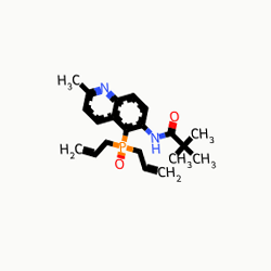 C=CCP(=O)(CC=C)c1c(NC(=O)C(C)(C)C)ccc2nc(C)ccc12